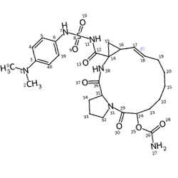 CN(C)c1ccc(NS(=O)(=O)NC(=O)C23CC2/C=C/CCCCCC(OC(N)=O)C(=O)N2CCCC2C(=O)N3)cc1